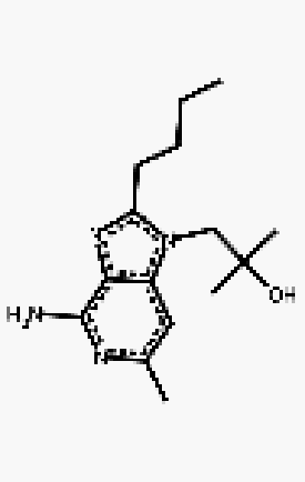 CCCCc1nc2c(N)nc(C)cc2n1CC(C)(C)O